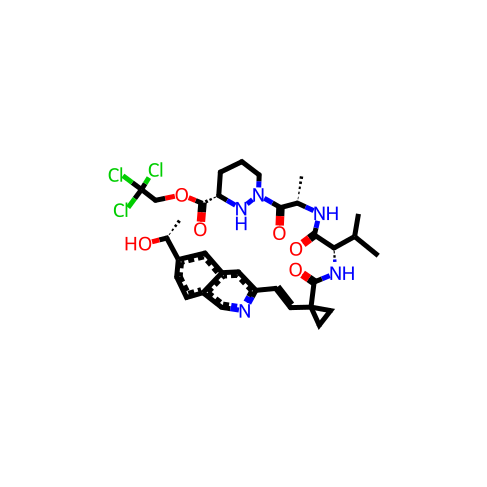 CC(C)[C@H](NC(=O)C1(/C=C/c2cc3cc([C@@H](C)O)ccc3cn2)CC1)C(=O)N[C@@H](C)C(=O)N1CCC[C@@H](C(=O)OCC(Cl)(Cl)Cl)N1